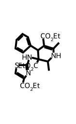 CCOC(=O)C1=C(C)NC(C)C(Nc2nc(C(=O)OCC)cs2)(C(=O)OCC)C1c1ccccc1